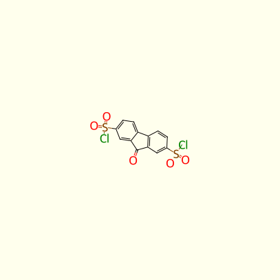 O=C1c2cc(S(=O)(=O)Cl)ccc2-c2ccc(S(=O)(=O)Cl)cc21